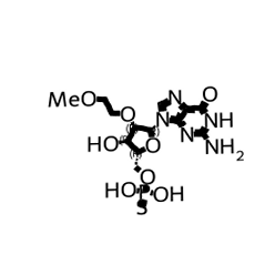 COCCO[C@@H]1[C@H](O)[C@@H](COP(O)(O)=S)O[C@H]1n1cnc2c(=O)[nH]c(N)nc21